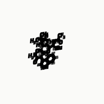 CC(C)(C)[C@H](NC(=O)C(F)(F)F)C(=O)N1C[C@H]2[C@@H]([C@H]1C(=O)NC(C(N)=O)c1cnnc3ccccc13)C2(C)C